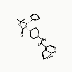 CC1(C)OC(=O)N([C@H]2CC[C@H](NC(=O)c3ccnc4[nH]ccc34)CC2)[C@H]1c1ccccc1